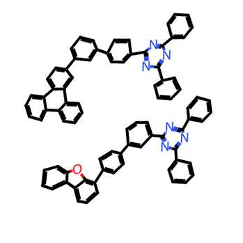 c1ccc(-c2nc(-c3ccccc3)nc(-c3ccc(-c4cccc(-c5ccc6c7ccccc7c7ccccc7c6c5)c4)cc3)n2)cc1.c1ccc(-c2nc(-c3ccccc3)nc(-c3cccc(-c4ccc(-c5cccc6c5oc5ccccc56)cc4)c3)n2)cc1